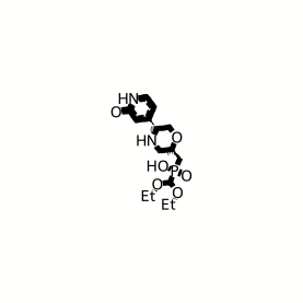 CCOC(OCC)P(=O)(O)C[C@H]1CN[C@H](c2cc[nH]c(=O)c2)CO1